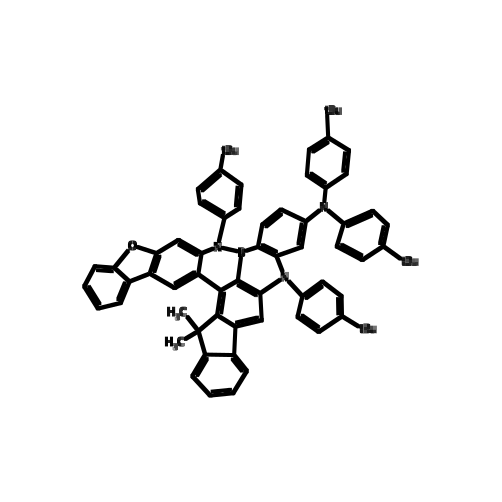 CC(C)(C)c1ccc(N2B3c4ccc(N(c5ccc(C(C)(C)C)cc5)c5ccc(C(C)(C)C)cc5)cc4N(c4ccc(C(C)(C)C)cc4)c4cc5c(c(c43)-c3cc4c(cc32)oc2ccccc24)C(C)(C)c2ccccc2-5)cc1